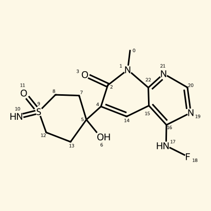 Cn1c(=O)c(C2(O)CCS(=N)(=O)CC2)cc2c(NF)ncnc21